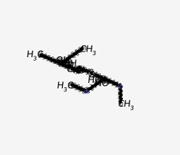 CCCCCCCC/C=C\CCCCCC[C@H](O)CN(CCCCCSSCCCCN1CCN(CCOC(=O)CCCN(CC(O)CCCCCCCCCC)CC(O)CCCCCCCCCC)CC1)C[C@@H](O)CCCCCC/C=C\CCCCCCCC